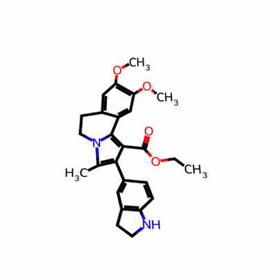 CCOC(=O)c1c(-c2ccc3c(c2)CCN3)c(C)n2c1-c1cc(OC)c(OC)cc1CC2